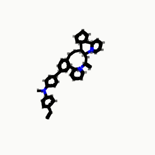 C=Cc1ccc(N(C)c2ccc(-c3ccc4c(c3)-c3cccc[n+]3C(=C)CC3C(CC4)c4ccccc4-c4cccc[n+]43)cc2)cc1